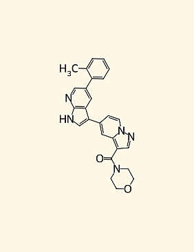 Cc1ccccc1-c1cnc2[nH]cc(-c3ccn4ncc(C(=O)N5CCOCC5)c4c3)c2c1